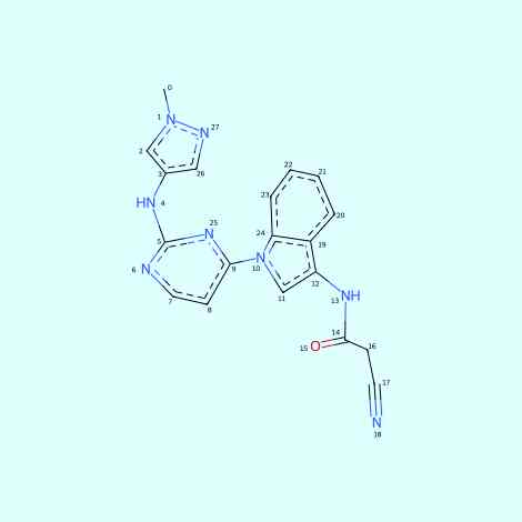 Cn1cc(Nc2nccc(-n3cc(NC(=O)CC#N)c4ccccc43)n2)cn1